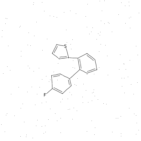 Fc1ccc(-c2[c]cccc2-c2cccs2)cc1